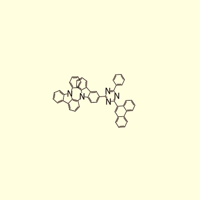 c1ccc(-c2nc(-c3ccc4c(c3)c3ccccc3n4-c3cccc4c5ccccc5n(-c5ccccc5)c34)nc(-c3cc4ccccc4c4ccccc34)n2)cc1